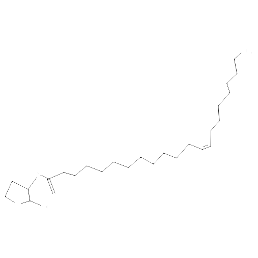 CCCCCCCC/C=C\CCCCCCCCCCCC(=O)NC1CCOC1O